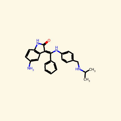 CC(C)NCc1ccc(N/C(=C2\C(=O)Nc3ccc(N)cc32)c2ccccc2)cc1